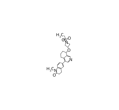 CCS(=O)(=O)N1CC(O[C@@H]2CCCc3c(-c4ccc5c(c4)CCC(=O)N5C)cncc32)C1